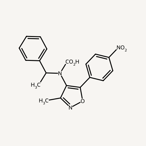 Cc1noc(-c2ccc([N+](=O)[O-])cc2)c1N(C(=O)O)C(C)c1ccccc1